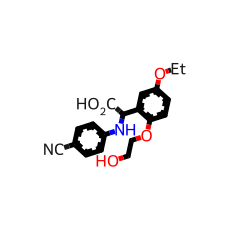 CCOc1ccc(OCCO)c(C(Nc2ccc(C#N)cc2)C(=O)O)c1